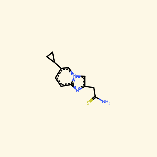 NC(=S)Cc1cn2cc(C3CC3)ccc2n1